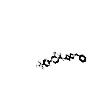 CCS(=O)(=O)c1cnc(N2CCN(C(=O)OC3CC4(C3)CN(Cc3ccccc3)C4)[C@H](C)C2)nc1